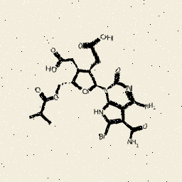 CC(C)C(=O)OC[C@H]1O[C@H](n2c(=O)nc(N)c3c(C(N)=O)c(Br)[nH]c32)[C@H](CC(=O)O)[C@@H]1CC(=O)O